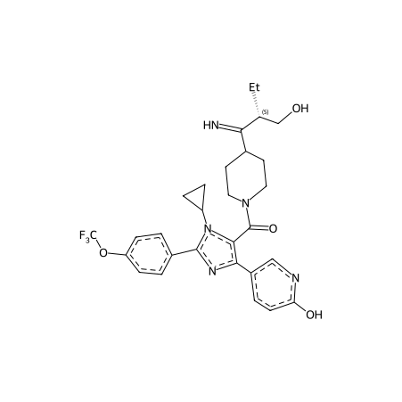 CC[C@H](CO)C(=N)C1CCN(C(=O)c2c(-c3ccc(O)nc3)nc(-c3ccc(OC(F)(F)F)cc3)n2C2CC2)CC1